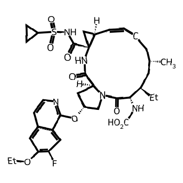 CCOc1cc2ccnc(O[C@@H]3C[C@H]4C(=O)N[C@]5(C(=O)NS(=O)(=O)C6CC6)C[C@H]5C=CCC[C@H](C)C[C@@H](CC)[C@H](NC(=O)O)C(=O)N4C3)c2cc1F